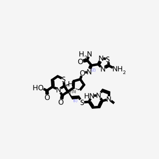 CN1C=CN2NC(S/C=C/[C@@]3([C@H]4CCC(O/N=C(\C(N)=O)c5nsc(N)n5)C4)C(=O)N4C(C(=O)O)=CCS[C@H]43)=CC=C12